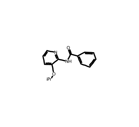 CC(C)Oc1cccnc1NC(=O)c1ccccc1